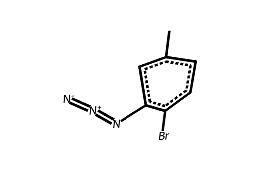 Cc1ccc(Br)c(N=[N+]=[N-])c1